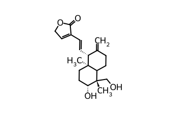 C=C1CCC2[C@](C)(CO)[C@H](O)CC[C@@]2(C)[C@@H]1/C=C/C1=CCOC1=O